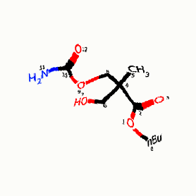 CCCCOC(=O)C(C)(CO)COC(N)=O